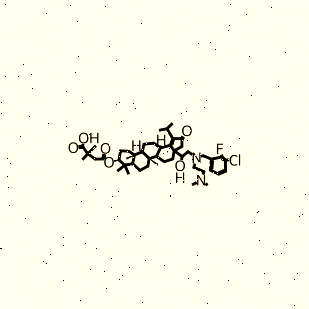 CC(C)C1=C2[C@H]3CC[C@@H]4[C@@]5(C)CC[C@H](OC(=O)CC(C)(C)C(=O)O)C(C)(C)C5CC[C@@]4(C)[C@]3(C)CCC2(C(O)CN(CCN(C)C)Cc2cccc(Cl)c2F)CC1=O